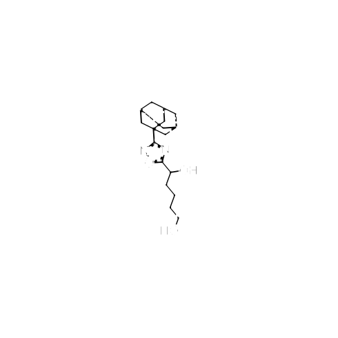 OCCCCC(O)c1nc(C23CC4CC(CC(C4)C2)C3)no1